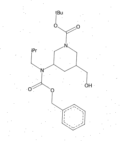 CC(C)CN(C(=O)OCc1ccccc1)C1CC(CO)CN(C(=O)OC(C)(C)C)C1